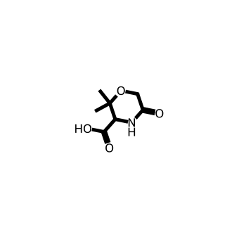 CC1(C)OCC(=O)NC1C(=O)O